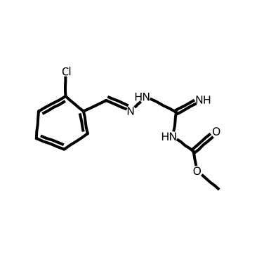 COC(=O)NC(=N)NN=Cc1ccccc1Cl